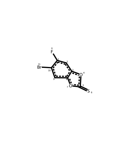 Fc1cc2oc(=S)oc2cc1Br